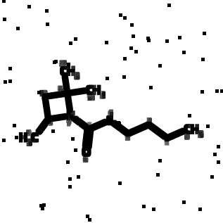 CCCCSC(=O)N1C(C)CC1(C)C